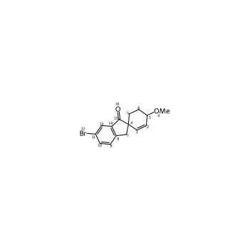 COC1C=CC2(CC1)Cc1ccc(Br)cc1C2=O